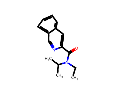 CCN(C(=O)c1cc2ccccc2cn1)C(C)C